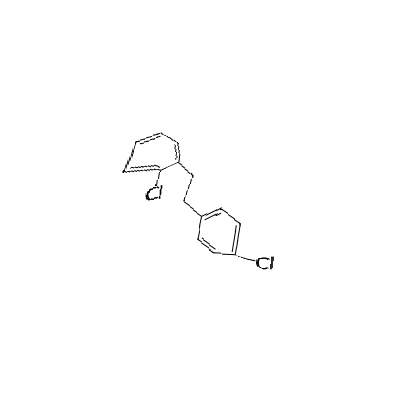 Clc1ccc(CCc2ccccc2Cl)cc1